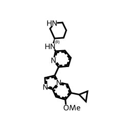 COc1cc2ncc(-c3cccc(N[C@@H]4CCCNC4)n3)n2cc1C1CC1